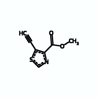 C#Cc1scnc1C(=O)OC